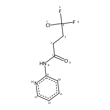 O=C(CCC(F)(F)Cl)Nc1ccccn1